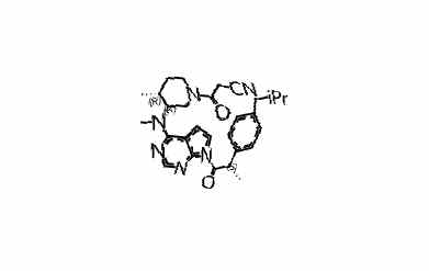 CC(C)Cc1ccc([C@H](C)C(=O)n2ccc3c(N(C)[C@H]4CN(C(=O)CC#N)CC[C@H]4C)ncnc32)cc1